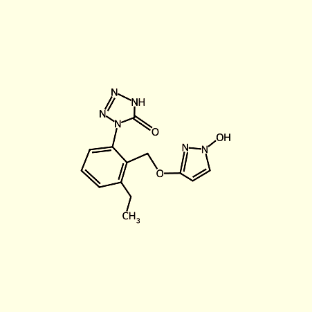 CCc1cccc(-n2nn[nH]c2=O)c1COc1ccn(O)n1